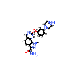 Cn1nc(C(N)=O)c2c1-c1nc(Oc3cccc(N4CCNCC4)c3)ncc1CC2